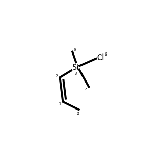 C/C=C\[Si](C)(C)Cl